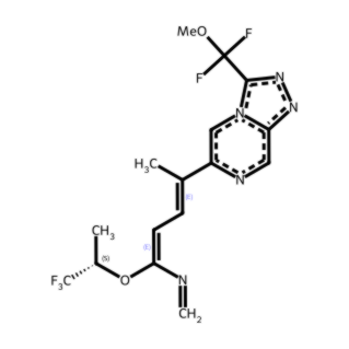 C=N/C(=C\C=C(/C)c1cn2c(C(F)(F)OC)nnc2cn1)O[C@@H](C)C(F)(F)F